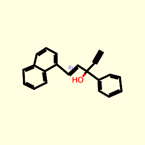 C#CC(O)(/C=C/c1cccc2ccccc12)c1ccccc1